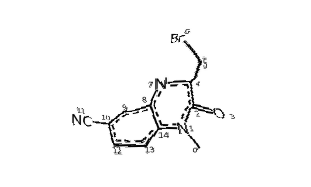 Cn1c(=O)c(CBr)nc2cc(C#N)ccc21